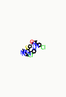 Cc1nnc2n1-c1sc3c(c1C(c1ccccc1Cl)=NC21CC1)C[C@H](C(=O)NC1(c2ccc(Cl)cn2)CC1)C3